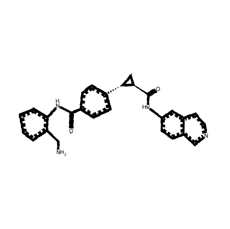 NCc1ccccc1NC(=O)c1ccc([C@@H]2C[C@H]2C(=O)Nc2ccc3cnccc3c2)cc1